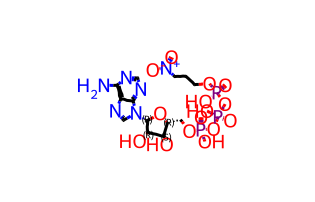 Nc1ncnc2c1ncn2[C@@H]1O[C@H](COP(=O)(O)OP(=O)(O)OP(=O)(O)OCCC[N+](=O)[O-])[C@@H](O)[C@H]1O